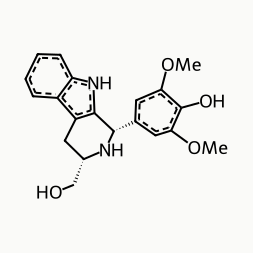 COc1cc([C@@H]2N[C@H](CO)Cc3c2[nH]c2ccccc32)cc(OC)c1O